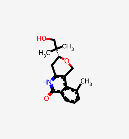 Cc1cccc2c(=O)[nH]c3c(c12)CO[C@@H](C(C)(C)CO)C3